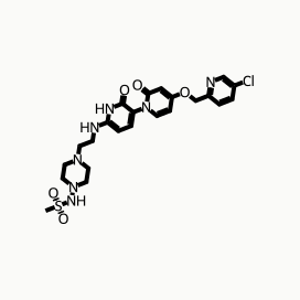 CS(=O)(=O)NN1CCN(CCNc2ccc(-n3ccc(OCc4ccc(Cl)cn4)cc3=O)c(=O)[nH]2)CC1